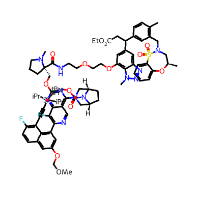 CCOC(=O)CC(c1ccc(C)c(CN2C[C@@H](C)Oc3ccccc3S2(=O)=O)c1)c1cc(OCCOCCNC(=O)[C@@]2(COc3nc(N4C[C@H]5CC[C@@H](C4)N5C(=O)OC(C)(C)C)c4cnc(-c5cc(OCOC)cc6ccc(F)c(C#C[Si](C(C)C)(C(C)C)C(C)C)c56)c(F)c4n3)CCCN2C)c2c(c1)nnn2C